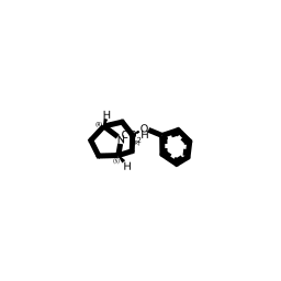 O=C(O)N1[C@@H]2CC[C@H]1C[C@@H](Oc1ccccc1)C2